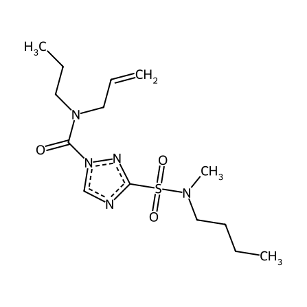 C=CCN(CCC)C(=O)n1cnc(S(=O)(=O)N(C)CCCC)n1